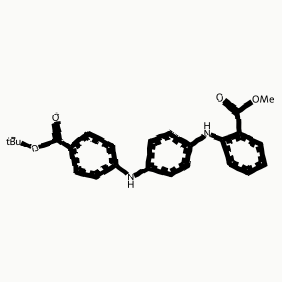 COC(=O)c1ccccc1Nc1ccc(Nc2ccc(C(=O)OC(C)(C)C)cc2)cc1